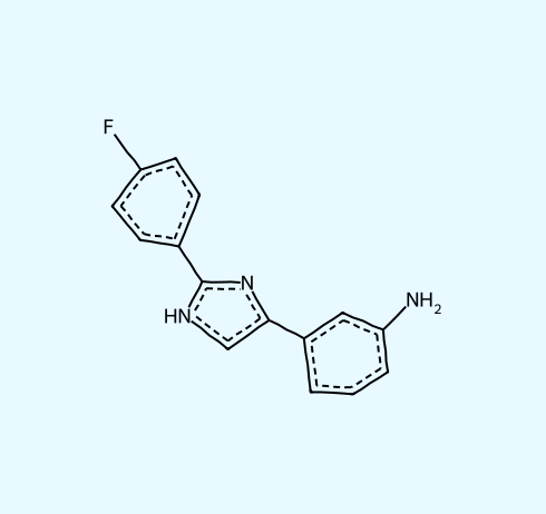 Nc1cccc(-c2c[nH]c(-c3ccc(F)cc3)n2)c1